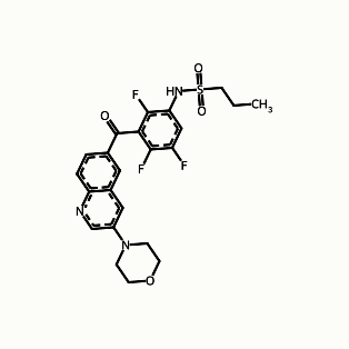 CCCS(=O)(=O)Nc1cc(F)c(F)c(C(=O)c2ccc3ncc(N4CCOCC4)cc3c2)c1F